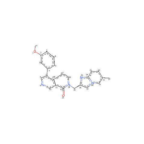 COc1cccc(-c2cncc3c(=O)n(Cc4cn5cc(C)ccc5n4)ccc23)c1